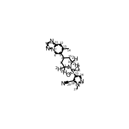 [2H]C1([2H])CC(c2cn3ncnc3cc2C)CC([2H])([2H])N1S(=O)(=O)c1cnn(C)c1C#N